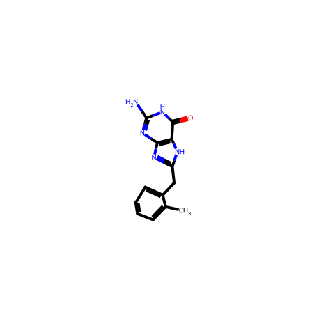 Cc1ccccc1Cc1nc2nc(N)[nH]c(=O)c2[nH]1